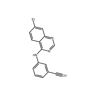 C#Cc1cccc(Nc2ncnc3cc(CC)ccc23)c1